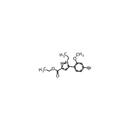 CCOC(=O)c1cc(-c2ccc(Br)cc2OC)n(CC)n1